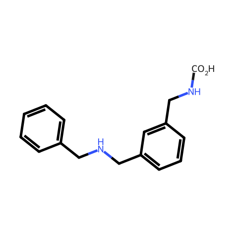 O=C(O)NCc1cccc(CNCc2ccccc2)c1